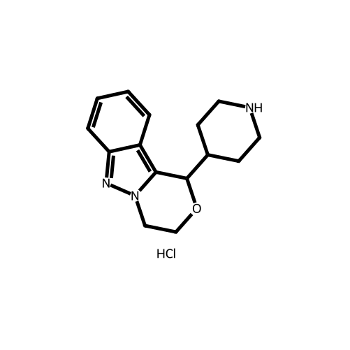 Cl.c1ccc2c3n(nc2c1)CCOC3C1CCNCC1